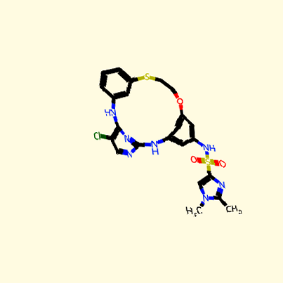 Cc1nc(S(=O)(=O)Nc2cc3cc(c2)OCCSc2cccc(c2)Nc2nc(ncc2Cl)N3)cn1C